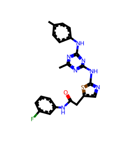 Cc1ccc(Nc2nc(C)nc(Nc3ncc(CC(=O)Nc4cccc(F)c4)s3)n2)cc1